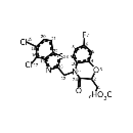 O=C(O)CC1Oc2cc(F)ccc2N(Cc2nc3c(Cl)c(Cl)ccc3s2)C1=O